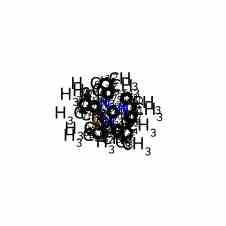 CC1(C)CCC(C)(C)c2cc(N3c4cc5c(cc4B4c6sc7c(c6N(c6ccc8c(c6)C(C)(C)CCC8(C)C)c6cc(N8c9ccccc9C(C)(C)c9ccccc98)cc3c64)C(C)(C)CCC7(C)C)C(C)(C)CCC5(C)C)ccc21